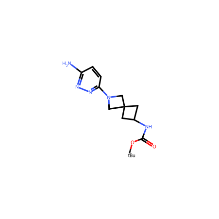 CC(C)(C)OC(=O)NC1CC2(C1)CN(c1ccc(N)nn1)C2